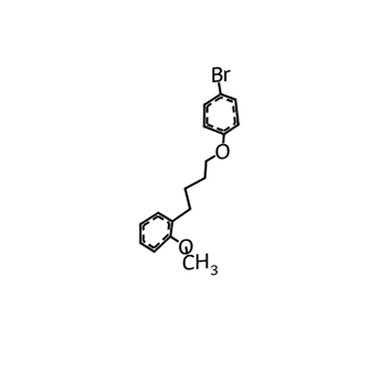 COc1ccccc1CCCCOc1ccc(Br)cc1